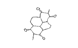 CC1C(=O)C2CCC3C(=O)C(C)C(=O)C4CCC(C1=O)C2C34